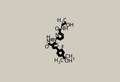 CC(O)CNC(=O)c1cccc(Nc2sc(-c3ccc(C(C)(C)O)cc3F)cc2C(N)=O)n1